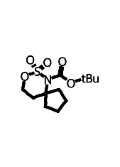 CC(C)(C)OC(=O)N1C2(CCCC2)CCOS1(=O)=O